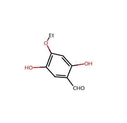 CCOc1cc(O)c(C=O)cc1O